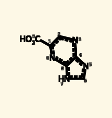 O=C(O)c1cnc2nc[nH]c2n1